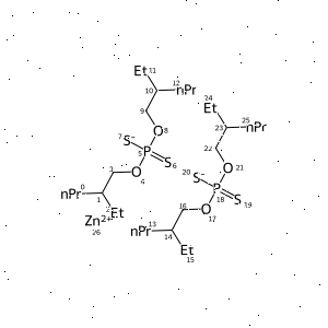 CCCC(CC)COP(=S)([S-])OCC(CC)CCC.CCCC(CC)COP(=S)([S-])OCC(CC)CCC.[Zn+2]